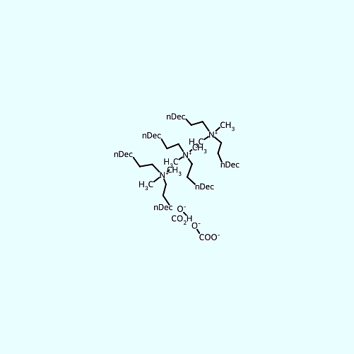 CCCCCCCCCCCC[N+](C)(C)CCCCCCCCCCCC.CCCCCCCCCCCC[N+](C)(C)CCCCCCCCCCCC.CCCCCCCCCCCC[N+](C)(C)CCCCCCCCCCCC.O=C([O-])O.O=C([O-])[O-]